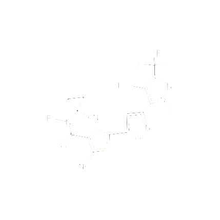 CCN(C(=O)c1cc(-c2cc(-c3c(C(F)(F)F)c(C(F)(F)C(F)(F)F)nn3C)no2)sc1C#N)C1(C#N)CC1